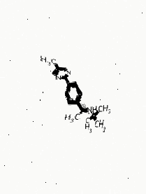 Cc1cnc(-c2ccc([C@H](C)NC(C)(C)C)cc2)nc1